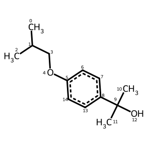 CC(C)COc1ccc(C(C)(C)O)cc1